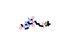 CC(=O)N1CCn2c1nc1c2c(=O)n(CCCC[C@@H](C)O[Si](C)(C)C(C)(C)C)c(=O)n1C